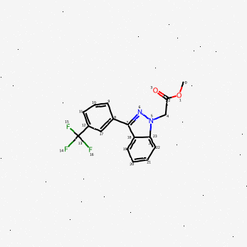 COC(=O)Cn1nc(-c2cccc(C(F)(F)F)c2)c2ccccc21